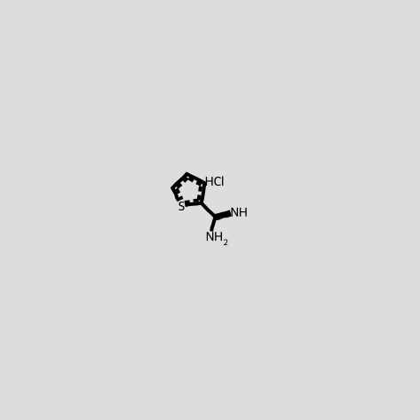 Cl.N=C(N)c1cccs1